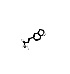 NC(=O)/C=C/c1ccc2c(c1)CCO2